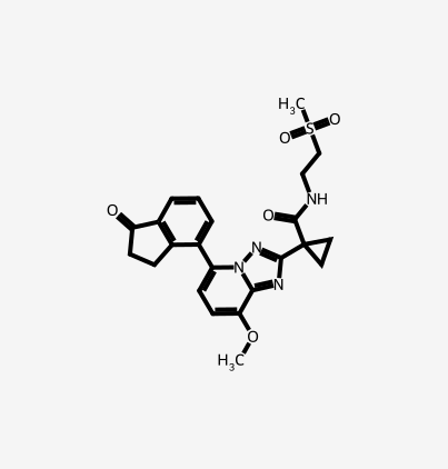 COc1ccc(-c2cccc3c2CCC3=O)n2nc(C3(C(=O)NCCS(C)(=O)=O)CC3)nc12